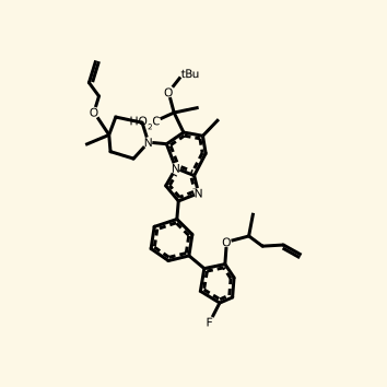 C=CCOC1(C)CCN(c2c(C(C)(OC(C)(C)C)C(=O)O)c(C)cc3nc(-c4cccc(-c5cc(F)ccc5OC(C)CC=C)c4)cn23)CC1